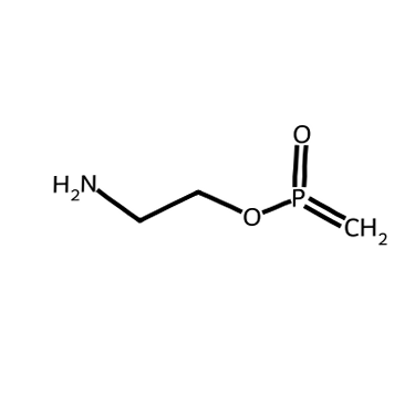 C=P(=O)OCCN